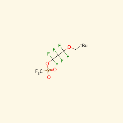 CC(C)(C)COC(F)(F)C(F)(F)C(F)(F)OS(=O)(=O)C(F)(F)F